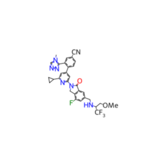 COCC(NCc1cc(F)c2c(c1)C(=O)N(c1cc(-c3ccc(C#N)cc3-c3nncn3C)cc(C3CC3)n1)C2)C(F)(F)F